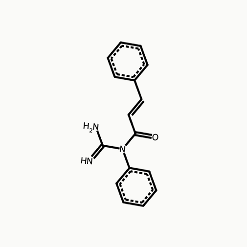 N=C(N)N(C(=O)/C=C/c1ccccc1)c1ccccc1